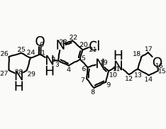 O=C(Nc1cc(-c2cccc(NCC3CCOCC3)n2)c(Cl)cn1)C1CCCNC1